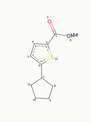 COC(=O)c1ccc(C2CCCC2)s1